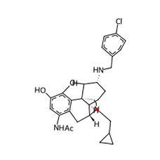 CC(=O)Nc1cc(O)c2c3c1C[C@@H]1[C@@H]4CC[C@@H](NCc5ccc(Cl)cc5)[C@H](O2)[C@]34CCN1CC1CC1